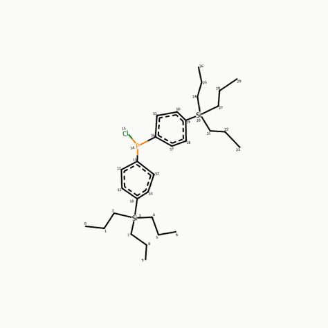 CCC[Si](CCC)(CCC)c1ccc(P(Cl)c2ccc([Si](CCC)(CCC)CCC)cc2)cc1